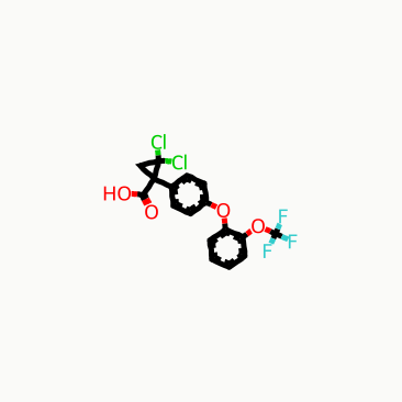 O=C(O)C1(c2ccc(Oc3ccccc3OC(F)(F)F)cc2)CC1(Cl)Cl